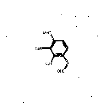 COc1ccc(OC=O)c([N+](=O)[O-])c1OC